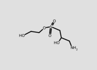 NCC(O)CS(=O)(=O)OCCO